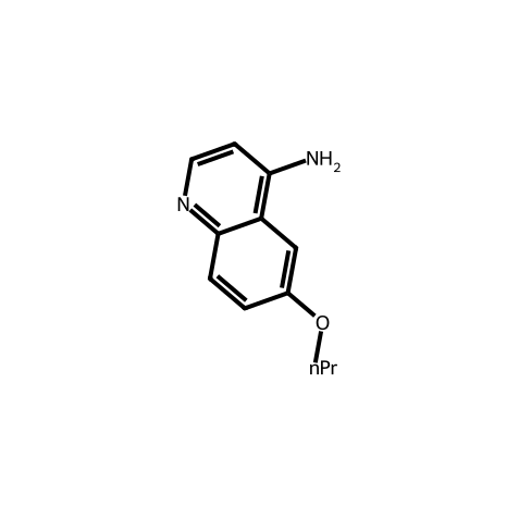 CCCOc1ccc2nccc(N)c2c1